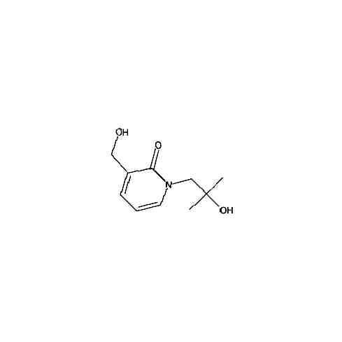 CC(C)(O)Cn1cccc(CO)c1=O